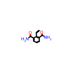 C=Cc1c(C(N)=O)cccc1C(N)=O